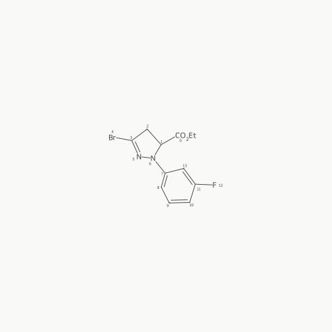 CCOC(=O)C1CC(Br)=NN1c1cccc(F)c1